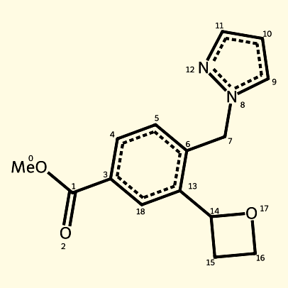 COC(=O)c1ccc(Cn2cccn2)c(C2CCO2)c1